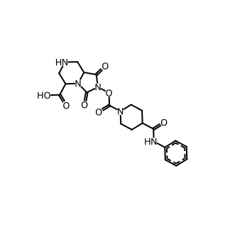 O=C(Nc1ccccc1)C1CCN(C(=O)ON2C(=O)C3CNCC(C(=O)O)N3C2=O)CC1